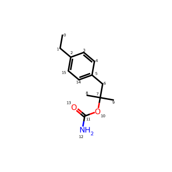 CCc1ccc(CC(C)(C)OC(N)=O)cc1